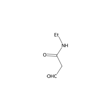 CCNC(=O)C[C]=O